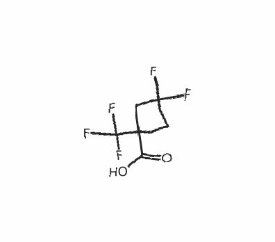 O=C(O)C1(C(F)(F)F)CC(F)(F)C1